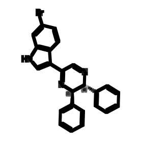 Brc1ccc2c(C3=N[C@H](c4ccccc4)[C@@H](c4ccccc4)N=C3)c[nH]c2c1